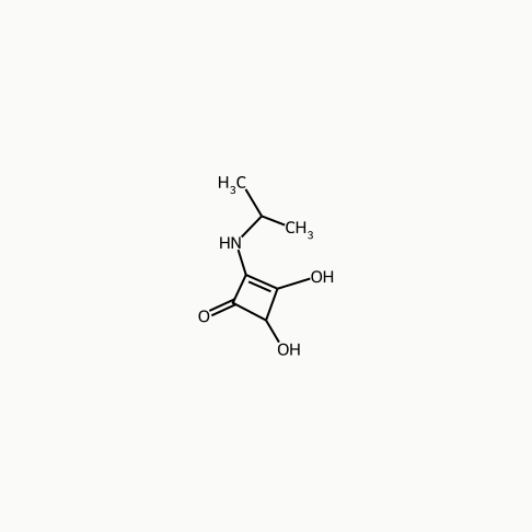 CC(C)NC1=C(O)C(O)C1=O